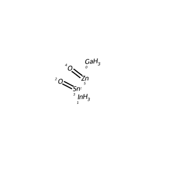 [GaH3].[InH3].[O]=[Sn].[O]=[Zn]